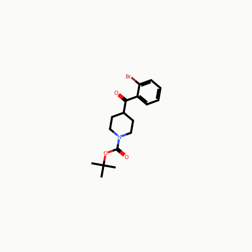 CC(C)(C)OC(=O)N1CCC(C(=O)c2ccccc2Br)CC1